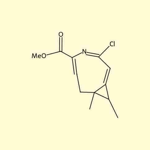 COC(=O)C1=C\CC2(C)\C(=C/C(Cl)=N\1)C2C